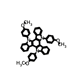 COc1ccc(-n2c3ccccc3c3c2c2c4ccccc4n(-c4ccc(OC)cc4)c2c2c4ccccc4n(-c4ccc(OC)cc4)c32)cc1